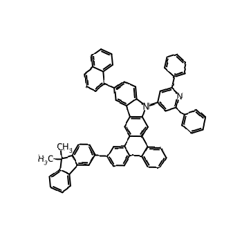 CC1(C)c2ccccc2-c2cc(-c3ccc4c5ccccc5c5cc6c(cc5c4c3)c3cc(-c4cccc5ccccc45)ccc3n6-c3cc(-c4ccccc4)nc(-c4ccccc4)c3)ccc21